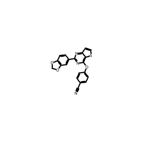 N#Cc1ccc(Oc2nc(-c3ccc4c(c3)OCO4)nc3ccsc23)cc1